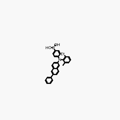 CCc1cccc(C)c1N(c1ccc(B(O)O)cc1)c1ccc2cc(-c3ccccc3)ccc2c1